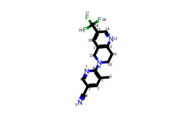 Cc1cc(C#N)cnc1N1CCc2ncc(C(F)(F)F)cc2C1